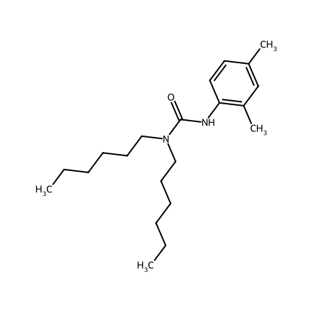 CCCCCCN(CCCCCC)C(=O)Nc1ccc(C)cc1C